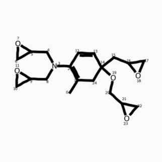 CC1=C(N(CC2CO2)CC2CO2)C=CC(CC2CO2)(OCC2CO2)C1